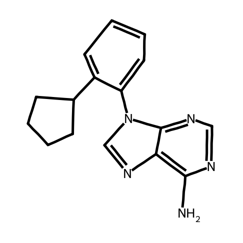 Nc1ncnc2c1ncn2-c1ccccc1C1CCCC1